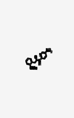 COc1ccccc1CC(=O)Nc1ccc([N+](=O)[O-])cn1